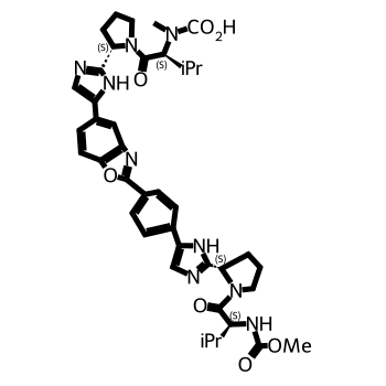 COC(=O)N[C@H](C(=O)N1CCC[C@H]1c1ncc(-c2ccc(-c3nc4cc(-c5cnc([C@@H]6CCCN6C(=O)[C@H](C(C)C)N(C)C(=O)O)[nH]5)ccc4o3)cc2)[nH]1)C(C)C